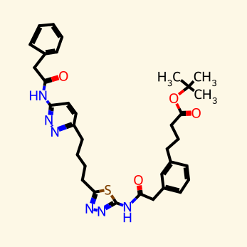 CC(C)(C)OC(=O)CCCc1cccc(CC(=O)Nc2nnc(CCCCc3ccc(NC(=O)Cc4ccccc4)nn3)s2)c1